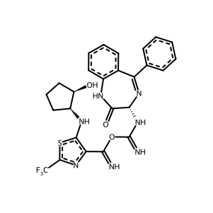 N=C(N[C@H]1N=C(c2ccccc2)c2ccccc2NC1=O)OC(=N)c1nc(C(F)(F)F)sc1N[C@H]1CCC[C@H]1O